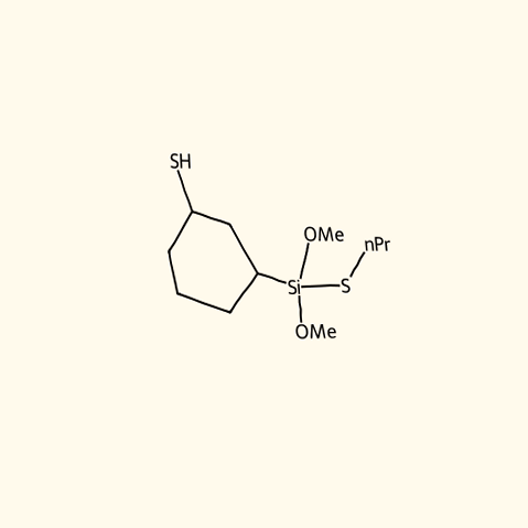 CCCS[Si](OC)(OC)C1CCCC(S)C1